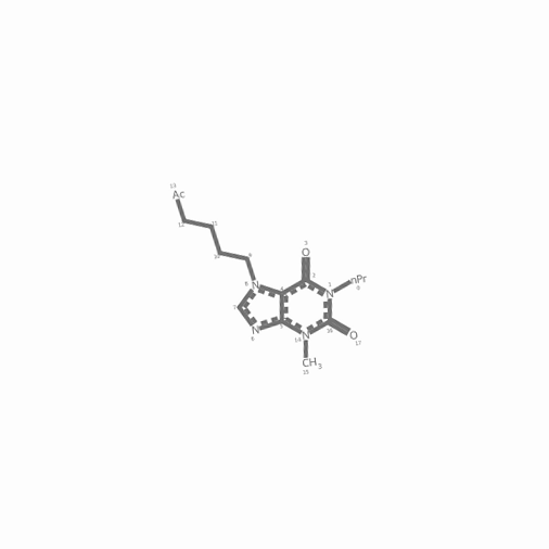 CCCn1c(=O)c2c(ncn2CCCCC(C)=O)n(C)c1=O